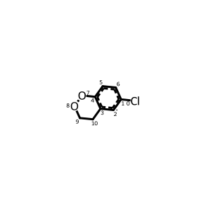 Clc1[c]c2c(cc1)OOCC2